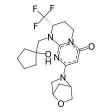 O=c1cc(N2CC3CC2CO3)nc2n1CC[C@@H](C(F)(F)F)N2CC1(O)CCCC1